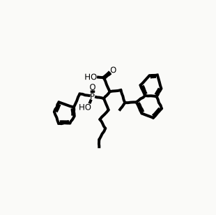 CCCCCC(C(CC(C)c1cccc2ccccc12)C(=O)O)P(=O)(O)Cc1ccccc1